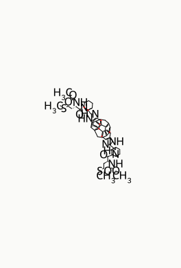 COC(=O)N[C@@H](CCSC)C(=O)N1C2CCC(CC2)[C@H]1c1nc2cc(-c3cc4ccc3CCc3ccc(c(-c5ccc6[nH]c([C@@H]7C8CCC(CC8)N7C(=O)[C@H](CCSC)NC(=O)OC)nc6c5)c3)CC4)ccc2[nH]1